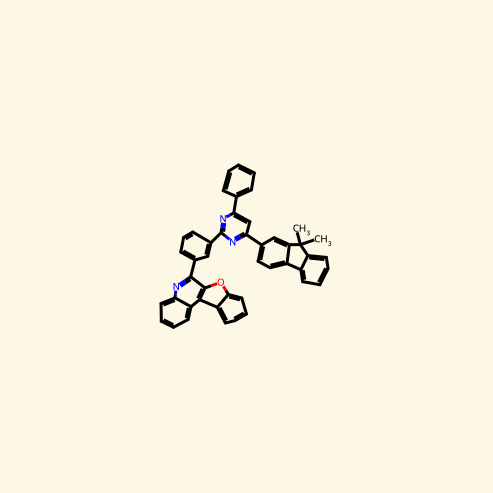 CC1(C)c2ccccc2-c2ccc(-c3cc(-c4ccccc4)nc(-c4cccc(-c5nc6ccccc6c6c5oc5ccccc56)c4)n3)cc21